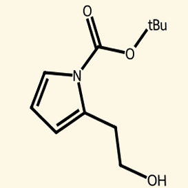 CC(C)(C)OC(=O)n1cccc1CCO